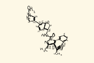 Cc1nc2ccccc2c2c1c(C)nn2C(=O)N[C@@H]1COc2cc(-c3cnn(C)c3)ccc21